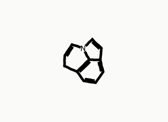 C1=Cn2ccc3cccc(c32)C1